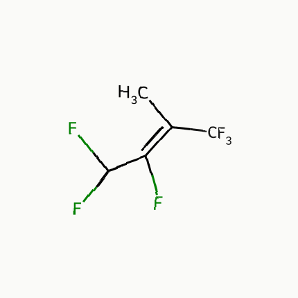 CC(=C(F)C(F)F)C(F)(F)F